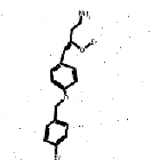 CCOC(=Cc1ccc(OCc2ccc(CC)cc2)cc1)CCN